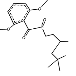 COc1cccc(OC)c1C(=O)[P](=O)CCC(C)CC(C)(C)C